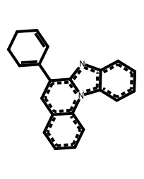 C1=CC(c2cc3ccccc3n3c2nc2ccccc23)=CCC1